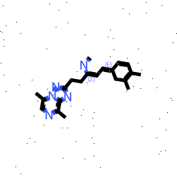 C=N/C(=C\C=C1\C=CC(C)=C(C)C1)CCc1nc2c(C)ncc(C)n2n1